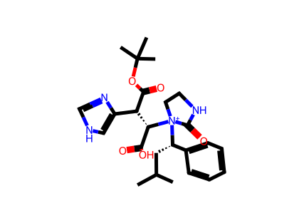 CC(C)C[C@@H](c1ccccc1)[N+]1([C@H](C(=O)O)C(C(=O)OC(C)(C)C)c2c[nH]cn2)CCNC1=O